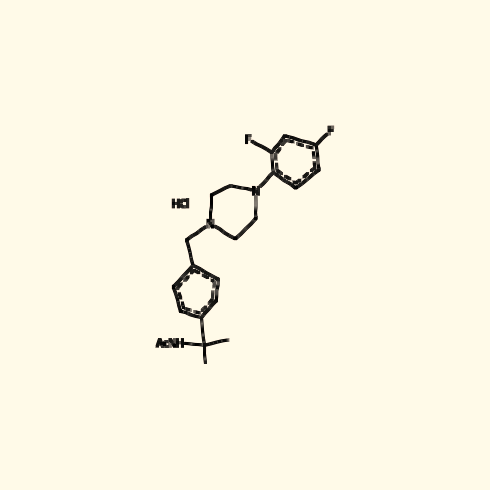 CC(=O)NC(C)(C)c1ccc(CN2CCN(c3ccc(F)cc3F)CC2)cc1.Cl